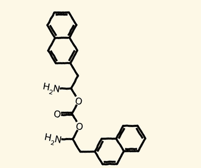 NC(Cc1ccc2ccccc2c1)OC(=O)OC(N)Cc1ccc2ccccc2c1